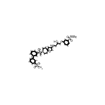 CNS(=O)(=O)c1cccc(OCC(O)CNC2COC3(CCN(S(=O)(=O)c4cccc(-c5cccc(S(C)(=O)=O)c5)c4)CC3)C2)c1